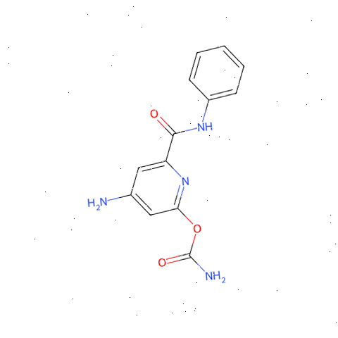 NC(=O)Oc1cc(N)cc(C(=O)Nc2ccccc2)n1